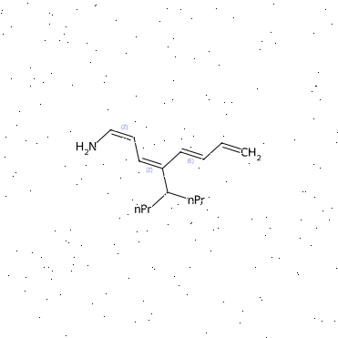 C=C/C=C/C(=C\C=C/N)C(CCC)CCC